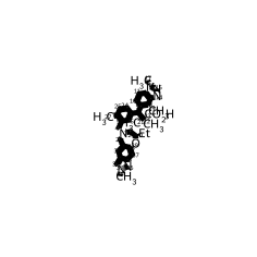 CC[C@@H]1CN(Cc2cc(C(c3ccc4c(nnn4C)c3C)C(C)(C)C(=O)O)ccc2C)Cc2cc3cn(C)nc3cc2O1